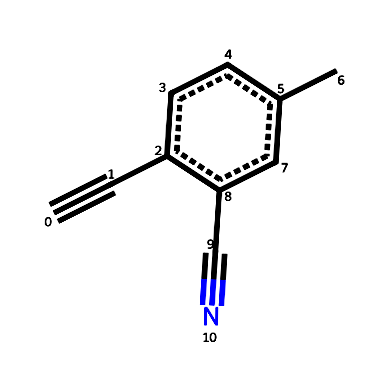 C#Cc1ccc(C)cc1C#N